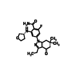 CCc1nn(-c2cc(F)c(C(N)=O)c(N[C@@H]3CCOC3)c2)c2c1C(=O)CC(C)(C)C2